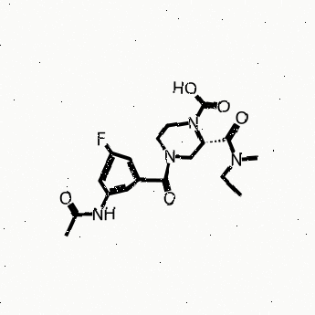 CCN(C)C(=O)[C@@H]1CN(C(=O)c2cc(F)cc(NC(C)=O)c2)CCN1C(=O)O